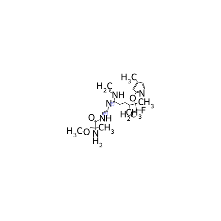 C=CN/C(CCC(C)C(C)(Oc1cc(C)ccn1)C(=C)F)=N/C=C/NC(=O)C(C)(N)COC